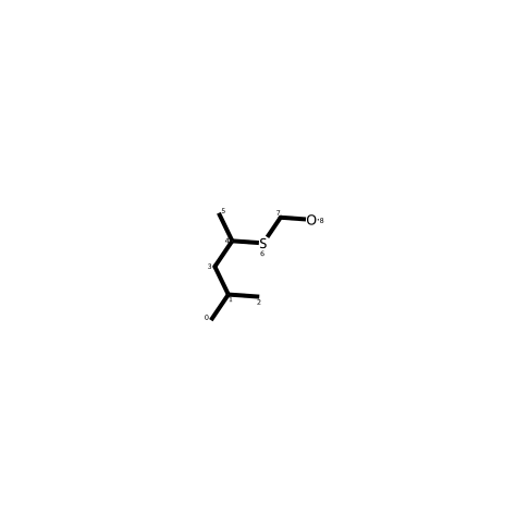 CC(C)CC(C)SC[O]